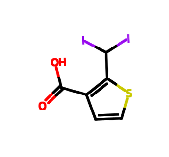 O=C(O)c1ccsc1C(I)I